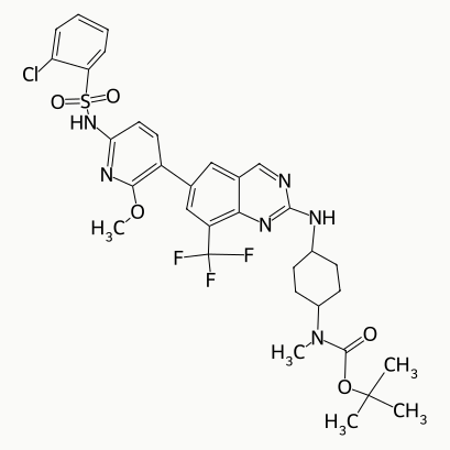 COc1nc(NS(=O)(=O)c2ccccc2Cl)ccc1-c1cc(C(F)(F)F)c2nc(NC3CCC(N(C)C(=O)OC(C)(C)C)CC3)ncc2c1